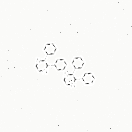 c1ccc(-c2nccnc2-c2ccccc2)cc1.c1ccc(-c2nccnc2-c2ccccc2)cc1